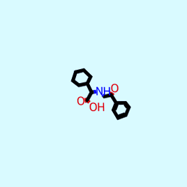 O=C(CNC(C(=O)O)C1CCCCC1)c1ccccc1